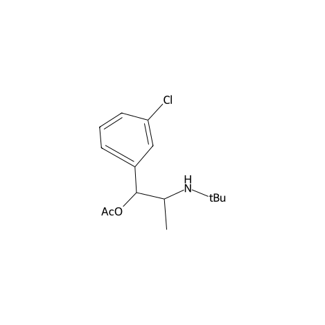 CC(=O)OC(c1cccc(Cl)c1)C(C)NC(C)(C)C